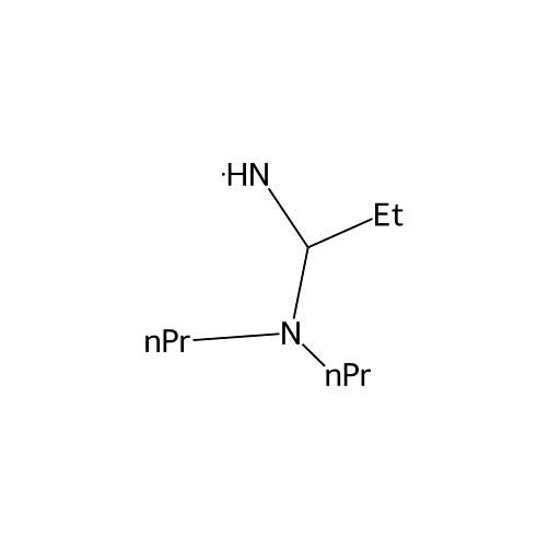 CCCN(CCC)C([NH])CC